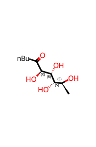 CCCCC(=O)[C@H](O)[C@H](O)[C@@H](O)[C@H](C)O